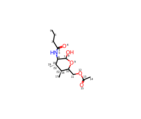 CCCC(=O)NC1C(O)OC(COC(C)=O)[C@@H](C)[C@@H]1C